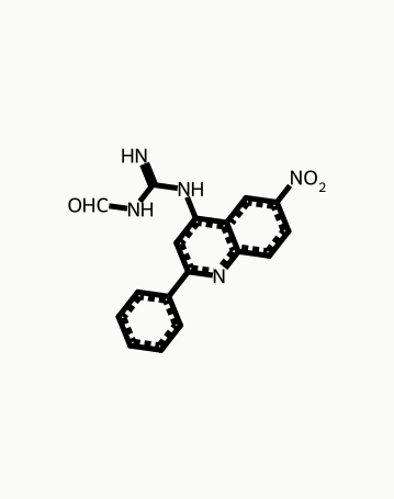 N=C(NC=O)Nc1cc(-c2ccccc2)nc2ccc([N+](=O)[O-])cc12